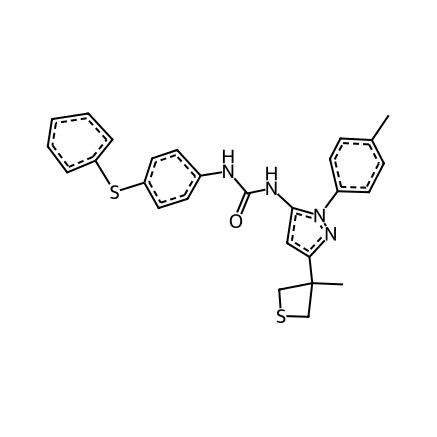 Cc1ccc(-n2nc(C3(C)CSC3)cc2NC(=O)Nc2ccc(Sc3ccccc3)cc2)cc1